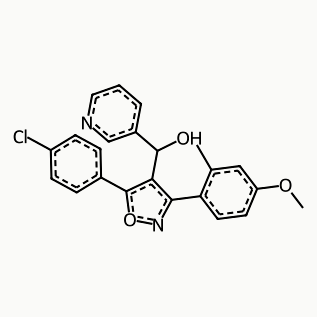 COc1ccc(-c2noc(-c3ccc(Cl)cc3)c2C(O)c2cccnc2)c(C)c1